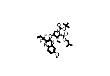 C=CC(F)(F)c1nc2ccc(OC)cc2nc1O[C@H]1CN(C(=O)OC(C)(C)C)[C@H](C(=O)OCC(C)C)[C@@H]1CC